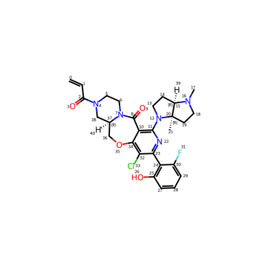 C=CC(=O)N1CCN2C(=O)c3c(N4CC[C@H]5N(C)CC[C@]54C)nc(-c4c(O)cccc4F)c(Cl)c3OC[C@H]2C1